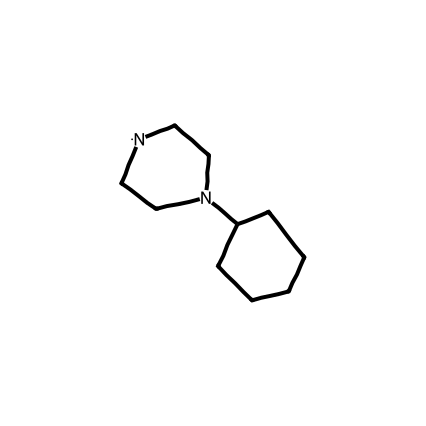 C1CCC(N2CC[N]CC2)CC1